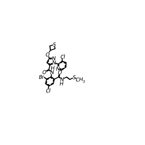 CSCCNC(=O)c1cc(Cl)cc(Br)c1NC(=O)c1cc(OC2CSC2)nn1-c1ncccc1Cl